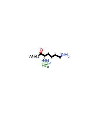 COC(=O)[C@@H](N)CCCCN.Cl.Cl